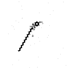 CCCCCCCCCCCCCCCCCC(=O)NS(=O)(=O)c1ccc(N)cc1.[Ti]